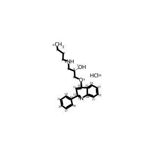 CCCCNC[C@H](O)COc1cc(-c2ccccc2)nc2ccccc12.Cl